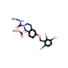 COC(=O)[C@H]1c2ccc(OCc3c(F)ccc(Cl)c3F)cc2CCN1C(=O)NC(C)(C)C